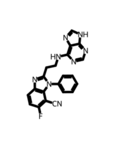 N#Cc1c(F)ccc2nc(CCNc3ncnc4[nH]cnc34)n(-c3ccccc3)c12